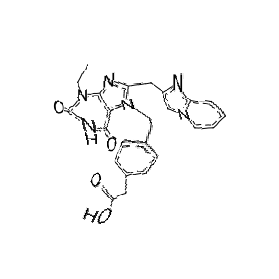 CCn1c(=O)[nH]c(=O)c2c1nc(Cc1cn3ccccc3n1)n2Cc1ccc(CC(=O)O)cc1